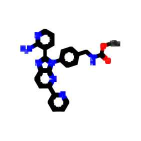 CC(C)(C)OC(=O)NCc1ccc(-n2c(-c3cccnc3N)nc3ccc(-c4ccccn4)nc32)cc1